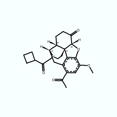 COc1cc(C(C)=O)c2c3c1O[C@H]1C(=O)CC[C@H]4[C@@H](C2)N(C(=O)C2CCC2)CC[C@]314